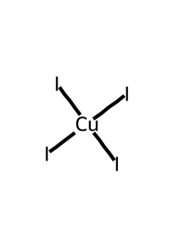 [I][Cu]([I])([I])[I]